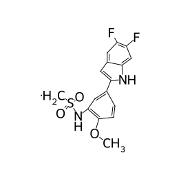 [CH2]S(=O)(=O)Nc1cc(-c2cc3cc(F)c(F)cc3[nH]2)ccc1OC